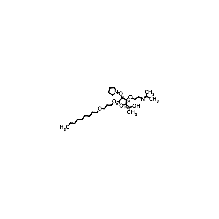 CCCCCCCCCOCCCO[C@H]1O[C@H]([C@@H](C)O)[C@H](OCCN=C(C)C)[C@@H]1ON1CCCC1